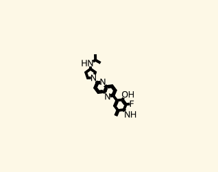 C=C1C=C(c2ccc3nc(N4CCC(NC(C)C)C4)ccc3n2)C(O)=C(F)C1=N